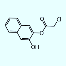 O=C(CCl)Oc1cc2ccccc2cc1O